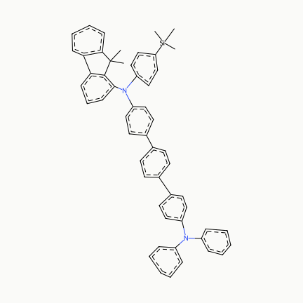 CC1(C)c2ccccc2-c2cccc(N(c3ccc(-c4ccc(-c5ccc(N(c6ccccc6)c6ccccc6)cc5)cc4)cc3)c3ccc([Si](C)(C)C)cc3)c21